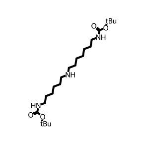 CC(C)(C)OC(=O)NCCCCCCCNCCCCCCNC(=O)OC(C)(C)C